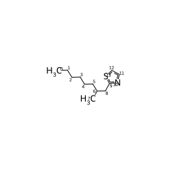 CCCCCCC(C)Cc1nccs1